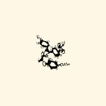 COc1ccc(OC(C)c2nc(-c3ccc(F)cc3)c(-c3ccc(S(C)(=O)=O)cc3)s2)cc1